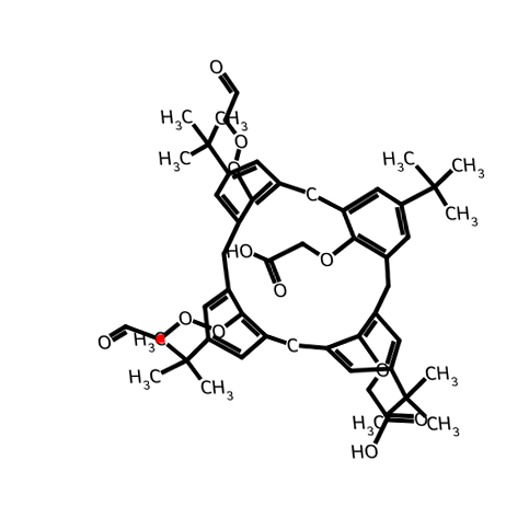 CC(C)(C)c1cc2c(OCC(=O)O)c(c1)Cc1cc(C(C)(C)C)cc(c1OOCC=O)Cc1cc(C(C)(C)C)cc(c1OOCC=O)Cc1cc(C(C)(C)C)cc(c1OCC(=O)O)C2